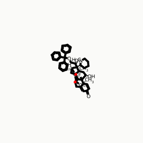 CN1CCCCC1[C@]1(C(=O)COC(c2ccccc2)(c2ccccc2)c2ccccc2)[C@@H]2CC3C4CCC5=C(OCO2)C(=O)C=C[C@]5(C)C4(F)[C@@H](O)C[C@@]31C